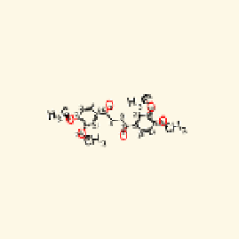 COc1ccc(C(=O)CCC(=O)c2ccc(OC)c(OC)c2)cc1OC